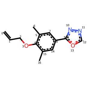 C=CCOc1c(C)cc(-c2nn[c]o2)cc1C